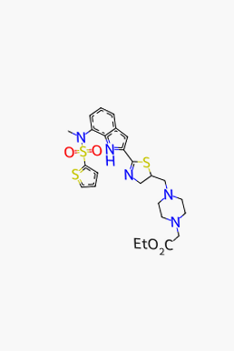 CCOC(=O)CN1CCN(CC2CN=C(c3cc4cccc(N(C)S(=O)(=O)c5cccs5)c4[nH]3)S2)CC1